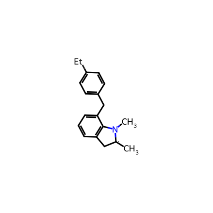 CCc1ccc(Cc2cccc3c2N(C)[C](C)C3)cc1